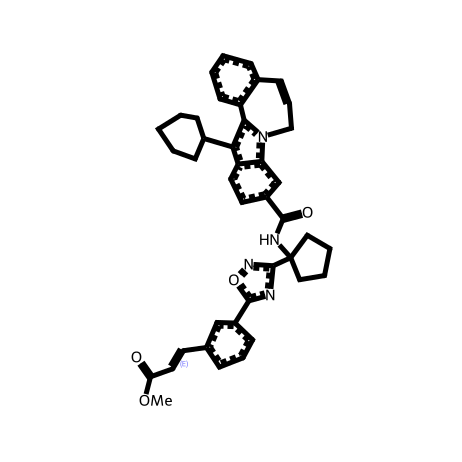 COC(=O)/C=C/c1cccc(-c2nc(C3(NC(=O)c4ccc5c(C6CCCCC6)c6n(c5c4)CC=Cc4ccccc4-6)CCCC3)no2)c1